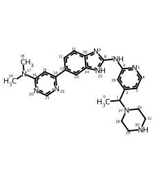 CC(c1ccnc(Nc2nc3ccc(-c4cc(N(C)C)ncn4)cc3[nH]2)c1)N1CCNCC1